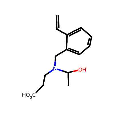 C=Cc1ccccc1CN(CCC(=O)O)C(C)O